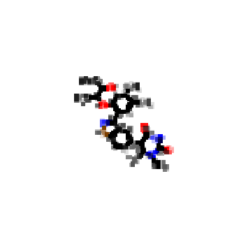 COC(=O)C(C)Oc1cc(C)c(C)cc1-c1nsc2ccc(-c3c(C(F)(F)F)n(C)c(=O)[nH]c3=O)cc12